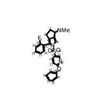 CNC1CCc2c1cn(S(=O)(=O)c1ccc(Oc3ccccc3)nc1)c2-c1ccccc1F